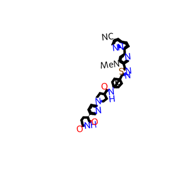 CNc1cc(-c2ccc3cc(C#N)cnn23)ncc1-c1nnc(C23CCC(NC(=O)C4CCN(c5ccc([C@H]6CCC(=O)NC6=O)cn5)CC4)(CC2)CC3)s1